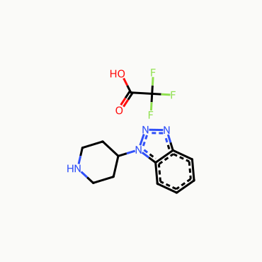 O=C(O)C(F)(F)F.c1ccc2c(c1)nnn2C1CCNCC1